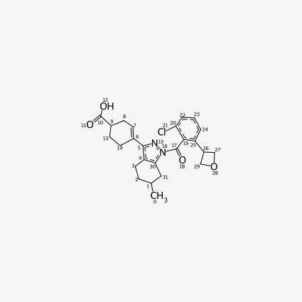 CC1CCc2c(C3=CCC(C(=O)O)CC3)nn(C(=O)c3c(Cl)cccc3C3COC3)c2C1